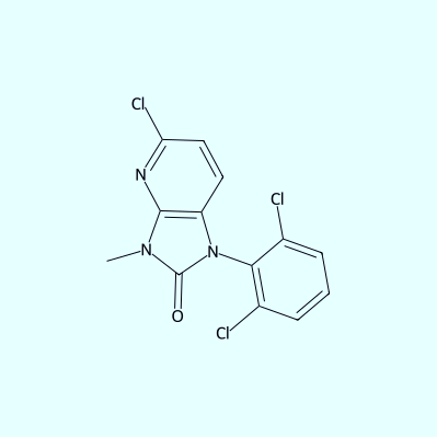 Cn1c(=O)n(-c2c(Cl)cccc2Cl)c2ccc(Cl)nc21